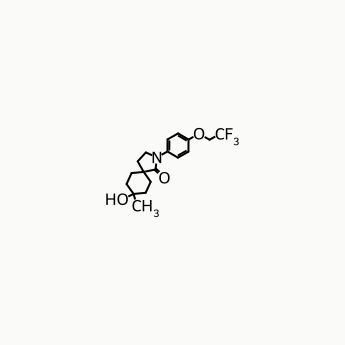 CC1(O)CCC2(CCN(c3ccc(OCC(F)(F)F)cc3)C2=O)CC1